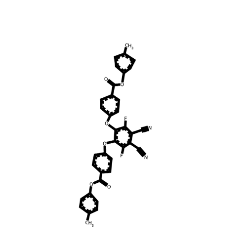 Cc1ccc(OC(=O)c2ccc(Oc3c(F)c(C#N)c(C#N)c(F)c3Oc3ccc(C(=O)Oc4ccc(C)cc4)cc3)cc2)cc1